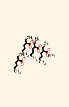 CCCCC(CC)C(=O)O.CCCCC(CC)C(=O)[O-].CCCCC(CC)C(=O)[O-].CCCCC(CC)C(=O)[O-].[Bi+3]